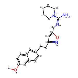 COc1ccc2cc(CCc3cc(CN=C(N)N4CCCCC4)on3)ccc2c1